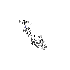 CN(C)C/C=C/C(=O)Nc1ccc(NCN2CC[C@H](Nc3nccc(-c4c(-c5ccccc5)nn5ccccc45)n3)C2)cc1